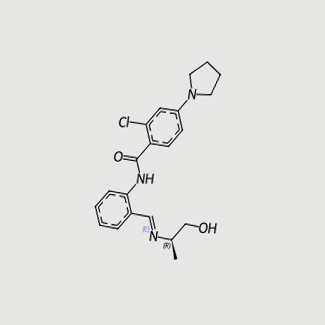 C[C@H](CO)/N=C/c1ccccc1NC(=O)c1ccc(N2CCCC2)cc1Cl